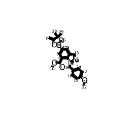 C=C1OB(c2cc(C(=O)OC)c3c(cnn3Cc3ccc(OC)cc3)c2)OC1(C)C